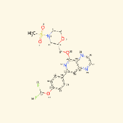 CS(=O)(=O)N1CCO[C@H](COc2nc(-c3ccc(OC(F)F)cc3)cc3nccnc23)C1